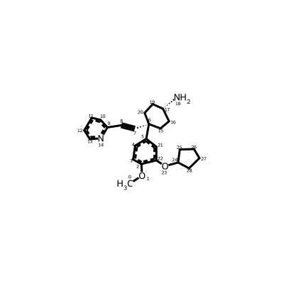 COc1ccc([C@]2(C#Cc3ccccn3)CC[C@@H](N)CC2)cc1OC1CCCC1